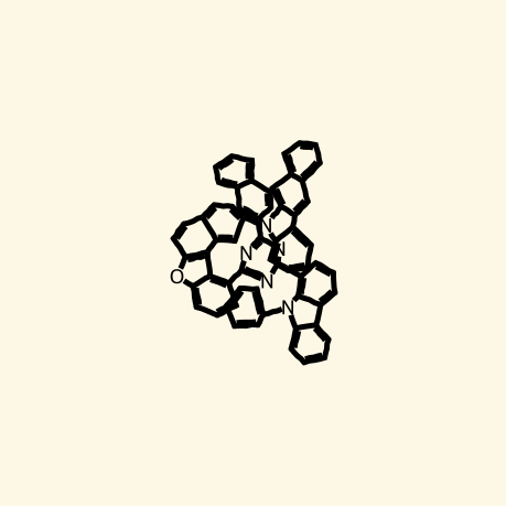 c1ccc(-n2c3ccccc3c3cccc(-c4nc(-c5ccc6ccccc6c5)nc(-c5cccc6oc7ccc8ccc(-n9c%10ccccc%10c%10cc%11ccccc%11cc%109)cc8c7c56)n4)c32)cc1